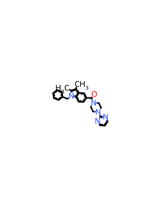 Cc1c(C)n(Cc2ccccc2)c2ccc(C(=O)N3CCN(c4ncccn4)CC3)cc12